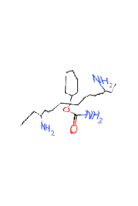 CCC(N)CCCC(CCCC(N)CC)(OC(N)=O)C1CCCCC1